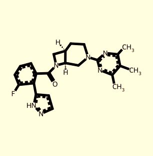 Cc1nc(N2CC[C@@H]3CN(C(=O)c4cccc(F)c4-c4ccn[nH]4)[C@@H]3C2)nc(C)c1C